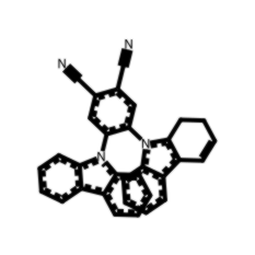 N#Cc1cc(-n2c3c(c4ccccc42)C=CCC3)c(-n2c3ccccc3c3ccccc32)cc1C#N